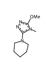 COc1nnc(N2CCCCC2)n1C